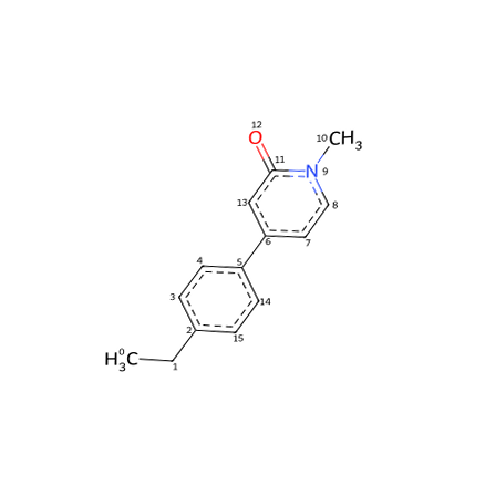 CCc1ccc(-c2ccn(C)c(=O)c2)cc1